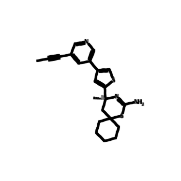 CC#Cc1cncc(-c2csc([C@]3(C)CC4(CCCCC4)SC(N)=N3)c2)c1